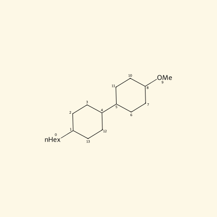 CCCCCCC1CCC(C2CCC(OC)CC2)CC1